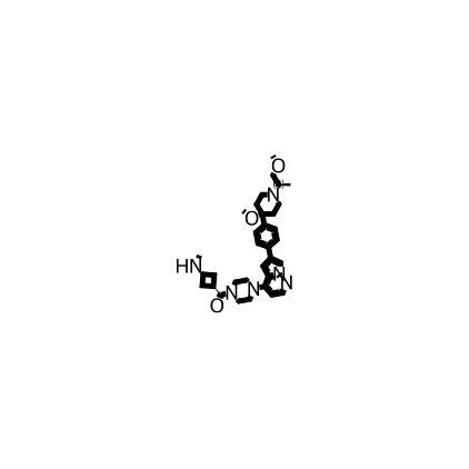 CN[C@H]1C[C@H](C(=O)N2CCN(c3ccnn4cc(-c5ccc(C6(OC)CCN([C@H](C)COC)CC6)cc5)cc34)CC2)C1